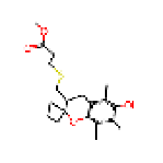 COC(=O)CCSCC1Cc2c(C)c(O)c(C)c(C)c2OC12CCC2